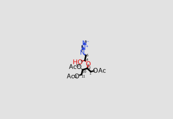 CC(=O)OCC(O[C@@H](O)CN=[N+]=[N-])[C@H](COC(C)=O)OC(C)=O